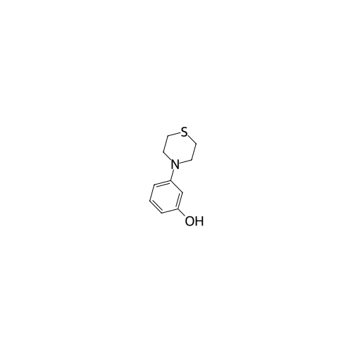 Oc1cccc(N2CCSCC2)c1